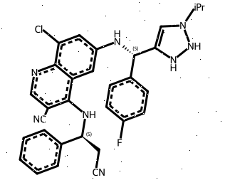 CC(C)N1C=C([C@@H](Nc2cc(Cl)c3ncc(C#N)c(N[C@@H](CC#N)c4ccccc4)c3c2)c2ccc(F)cc2)NN1